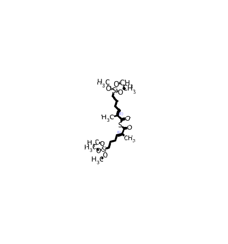 CO[Si](CCC/C=C(\C)C(=O)SC(=O)/C(C)=C/CCC[Si](OC)(OC)OC)(OC)OC